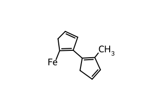 CC1=C(C2=[C]([Fe])CC=C2)CC=C1